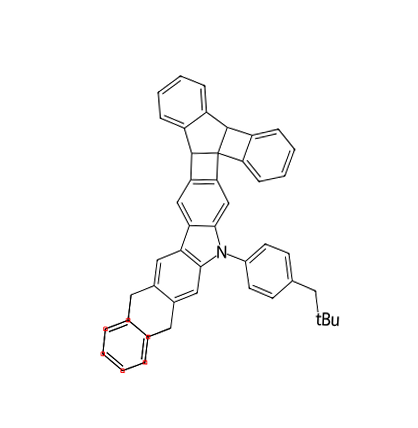 CC(C)(C)Cc1ccc(-n2c3cc4c(cc3c3cc5c(cc32)C23c6ccccc6C2c2ccccc2C53)C2c3ccccc3C4c3ccccc32)cc1